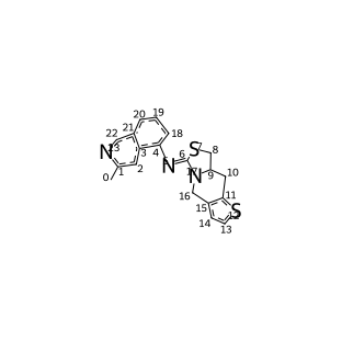 Cc1cc2c(N=C3SCC4Cc5sccc5CN34)cccc2cn1